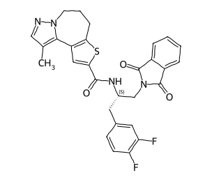 Cc1cnn2c1-c1cc(C(=O)N[C@@H](Cc3ccc(F)c(F)c3)CN3C(=O)c4ccccc4C3=O)sc1CCC2